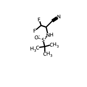 CC(C)(C)[S@+]([O-])NC(C#N)C(F)F